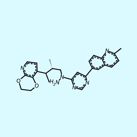 Cc1ccc2cc(-c3cc(N(N)C[C@@H](C)C(C)c4ccnc5c4OCCO5)ncn3)ccc2n1